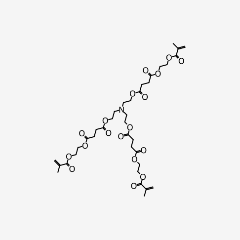 C=C(C)C(=O)OCCOC(=O)CCC(=O)OCCN(CCOC(=O)CCC(=O)OCCOC(=O)C(=C)C)CCOC(=O)CCC(=O)OCCOC(=O)C(=C)C